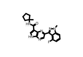 Cn1nc(-c2cnc3[nH]cc(C(=O)NC4(C)CCCC4)c3n2)c2c(F)cccc21